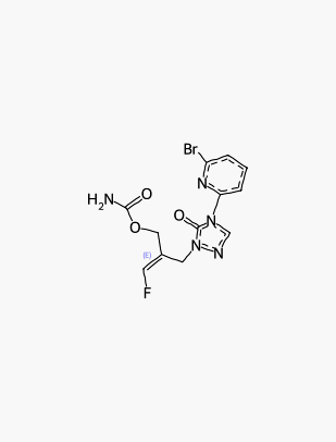 NC(=O)OC/C(=C/F)Cn1ncn(-c2cccc(Br)n2)c1=O